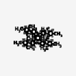 Cc1cc(C)c(-c2ccc3c(c2)c2c4c5cc(-c6c(C)cc(C)cc6C)ccc5n5c6ccc(-c7c(C)cc(C)cc7C)cc6c(c6c7cc(-c8c(C)cc(C)cc8C)ccc7n3c26)c45)c(C)c1